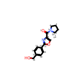 C[C@H]1CCCN1C(=O)c1coc(-c2ccc(CO)cc2)n1